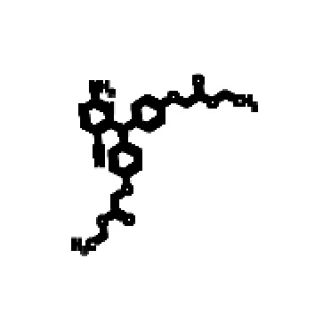 CCOC(=O)COc1ccc(N(c2ccc(OCC(=O)OCC)cc2)c2nc(N)ncc2C#N)cc1